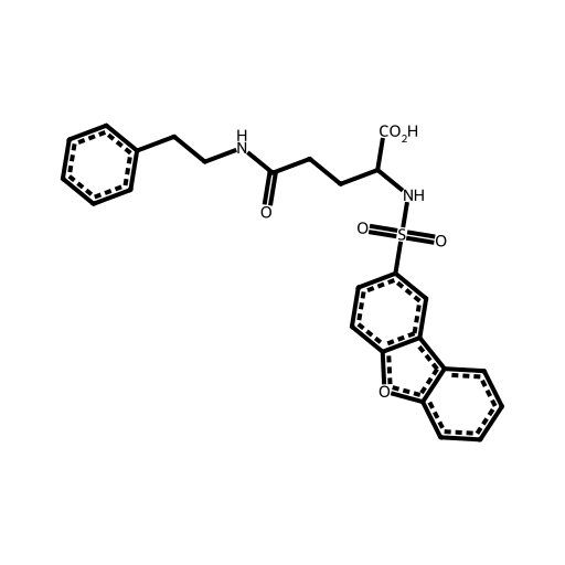 O=C(CCC(NS(=O)(=O)c1ccc2oc3ccccc3c2c1)C(=O)O)NCCc1ccccc1